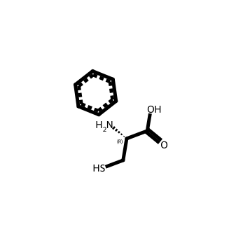 N[C@@H](CS)C(=O)O.c1ccccc1